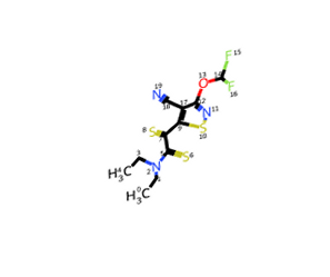 CCN(CC)C(=S)C(=S)c1snc(OC(F)F)c1C#N